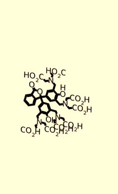 O=C(O)CN(CC(=O)O)Cc1cc(C2(c3cc(CN(CC(=O)O)CC(=O)O)c(O)c(CN(CC(=O)O)CC(=O)O)c3)OC(=O)c3ccccc32)cc(CN(CC(=O)O)CC(=O)O)c1O